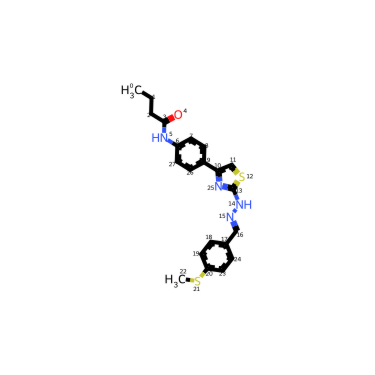 CCCC(=O)Nc1ccc(-c2csc(N/N=C/c3ccc(SC)cc3)n2)cc1